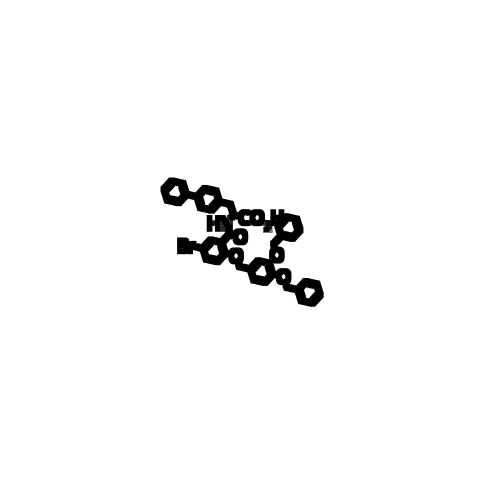 O=C(NC(Cc1ccc(-c2ccccc2)cc1)C(=O)O)c1cc(Br)ccc1OCc1ccc(OCc2ccccc2)c(OCc2ccccc2)c1